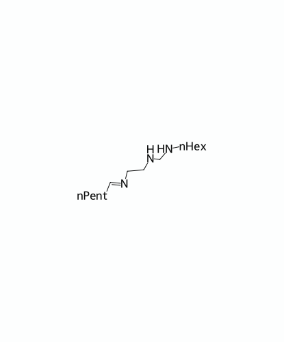 CCCCCC=NCCNCNCCCCCC